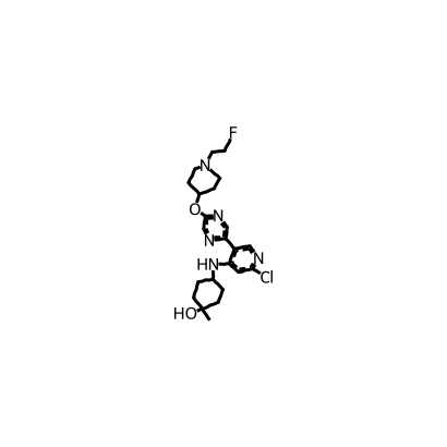 CC1(O)CCC(Nc2cc(Cl)ncc2-c2cnc(OC3CCN(CCF)CC3)cn2)CC1